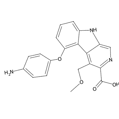 COCc1c(C(=O)O)ncc2[nH]c3cccc(Oc4ccc(N)cc4)c3c12